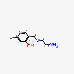 Cc1ccc(CNCCN)c(O)c1